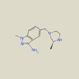 C[C@H]1CN(Cc2ccc3c(c2)c(N)nn3C)CCN1